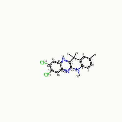 Cc1ccc2c(c1)C(C)(C)c1nc3cc(Cl)c(Cl)cc3nc1N2C